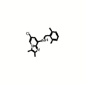 Cc1cccc(C)c1CNc1cc(Cl)cn2c(C)c(C)nc12